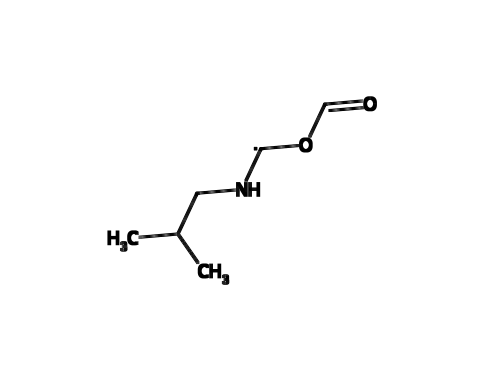 CC(C)CN[CH]OC=O